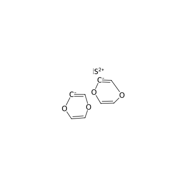 [C-]1=COC=CO1.[C-]1=COC=CO1.[S+2]